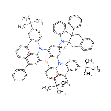 CC(C)(C)c1ccc(N2c3ccc(-c4ccccc4)cc3B3c4ccc(C(C)(C)C)cc4N(c4ccc(C(C)(C)C)cc4-c4ccccc4)c4cc(N5c6ccccc6C6(c7ccccc7)Cc7ccccc7CC56C)cc2c43)c(-c2ccccc2)c1